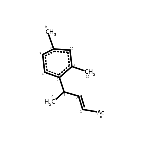 CC(=O)C=CC(C)c1ccc(C)cc1C